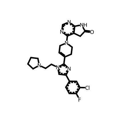 O=C1Cc2c(ncnc2N2CC=C(c3nc(-c4ccc(F)c(Cl)c4)cn3CCN3CCCC3)CC2)N1